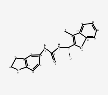 Cc1c([C@H](C)NC(=O)Nc2ccc3c(c2)CCO3)oc2ccccc12